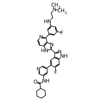 CN(C)CCNc1cc(F)cc(-c2nccc3[nH]c(-c4n[nH]c5cc(F)c(-c6cncc(NC(=O)C7CCCCC7)c6)cc45)nc23)c1